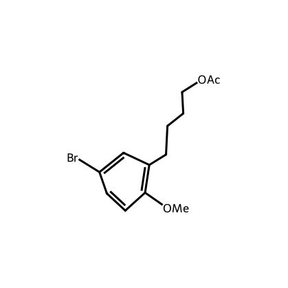 COc1ccc(Br)cc1CCCCOC(C)=O